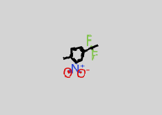 Cc1ccc(C(C)(F)F)cc1[N+](=O)[O-]